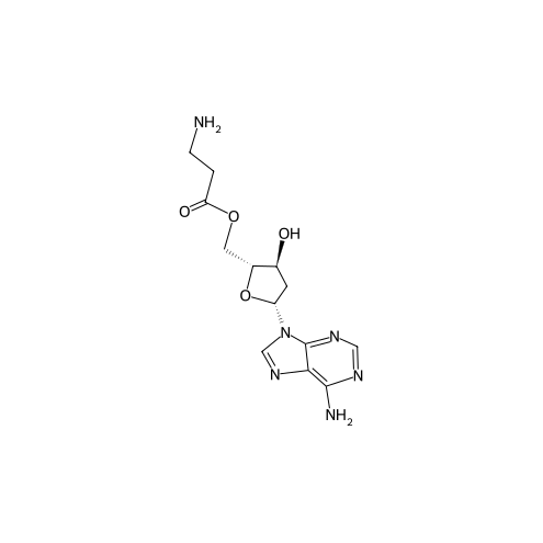 NCCC(=O)OC[C@H]1O[C@@H](n2cnc3c(N)ncnc32)C[C@@H]1O